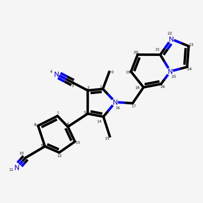 Cc1c(C#N)c(-c2ccc(C#N)cc2)c(C)n1Cc1ccc2nccn2c1